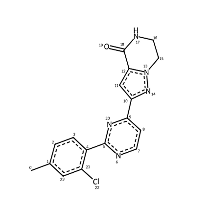 Cc1ccc(-c2nccc(-c3cc4n(n3)CCNC4=O)n2)c(Cl)c1